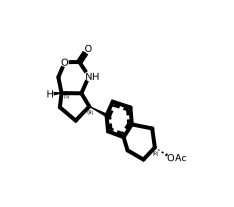 CC(=O)O[C@@H]1CCc2cc([C@H]3CC[C@@H]4COC(=O)NC43)ccc2C1